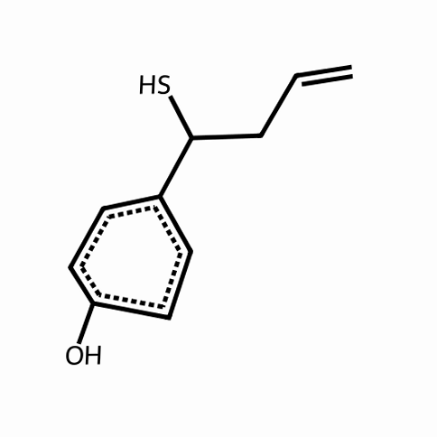 C=CCC(S)c1ccc(O)cc1